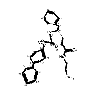 NCCNC(=O)CC[C@@H](Cc1ccccc1)NC(=O)Nc1ccc(-c2ccccc2)cc1